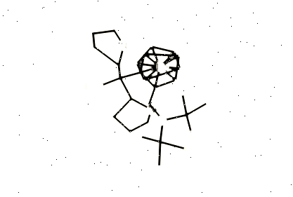 CCC(C)(C)P(C[C]12[CH]3[CH]4[CH]5[C]1(C(P)(C1CCCN1)C1CCCN1)[Fe]43521678[CH]2[CH]1[CH]6[CH]7[CH]28)C(C)(C)CC